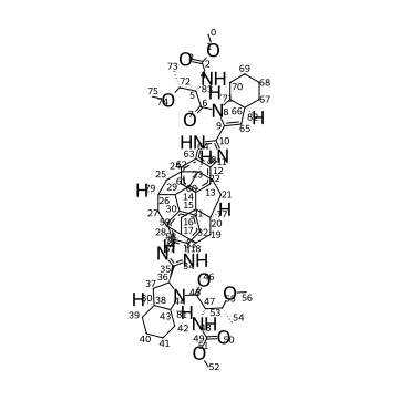 COC(=O)N[C@H](C(=O)N1C(c2nc3cc(C4C[C@H]5CC[C@@H]4CC[C@@H]4CC[C@H](CC5)C(c5ccc6[nH]c([C@@H]7C[C@@H]8CCCC[C@@H]8N7C(=O)[C@@H](NC(=O)OC)[C@@H](C)OC)nc6c5)C4)ccc3[nH]2)=C[C@@H]2CCCC[C@@H]21)[C@@H](C)OC